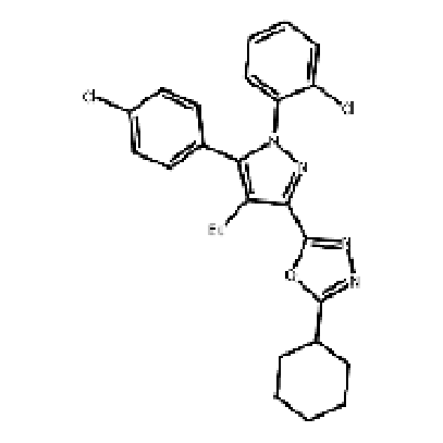 CCc1c(-c2nnc(C3CCCCC3)o2)nn(-c2ccccc2Cl)c1-c1ccc(Cl)cc1